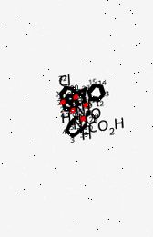 O=C(O)[C@@H]1[C@H]2CC[C@@H](CN1C(=O)N(c1ccccc1)c1ccccc1)N2C(=O)N(Cc1ccc(Cl)cc1)CC1CC1